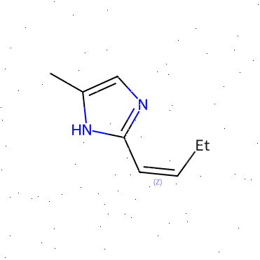 CC/C=C\c1ncc(C)[nH]1